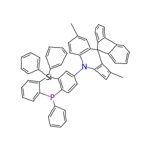 Cc1ccc2c(c1)C1(c3ccccc3-c3ccccc31)c1cc(C)ccc1N2c1ccc2c(c1)[Si](c1ccccc1)(c1ccccc1)c1ccccc1P2c1ccccc1